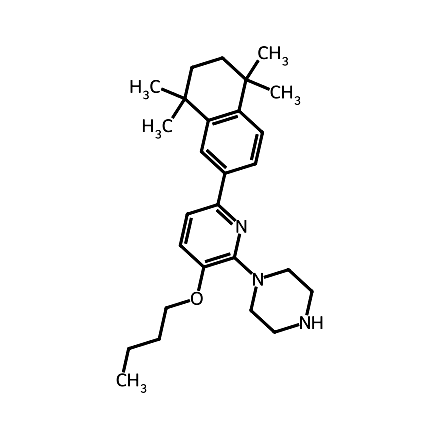 CCCCOc1ccc(-c2ccc3c(c2)C(C)(C)CCC3(C)C)nc1N1CCNCC1